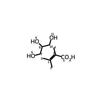 CC(C)=C(C)C(=O)O.OCC(O)CO